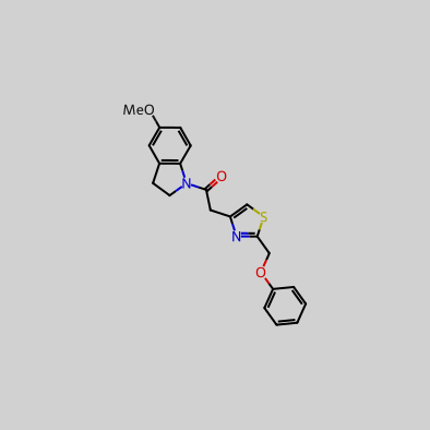 COc1ccc2c(c1)CCN2C(=O)Cc1csc(COc2ccccc2)n1